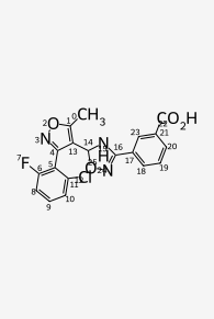 Cc1onc(-c2c(F)cccc2Cl)c1C1NC(c2cccc(C(=O)O)c2)=NO1